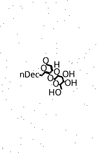 CCCCCCCCCCCc1oc(=O)ccc1OC1OC(CO)C(O)C(O)C1O